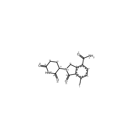 NC(=O)c1ccc(F)c2c1CN(C1CCC(=O)NC1=O)C2=O